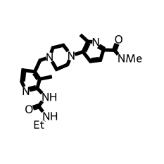 CCNC(=O)Nc1nccc(CN2CCN(c3ccc(C(=O)NC)nc3C)CC2)c1C